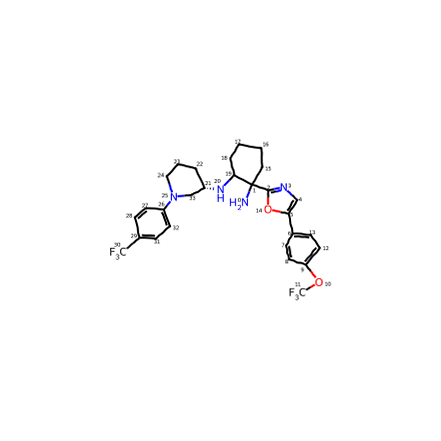 NC1(c2ncc(-c3ccc(OC(F)(F)F)cc3)o2)CCCCC1N[C@H]1CCCN(c2ccc(C(F)(F)F)cc2)C1